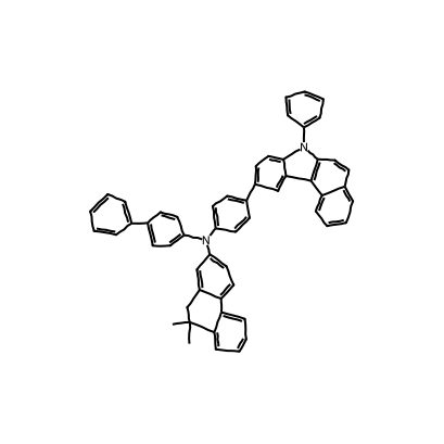 CC1(C)Cc2cc(N(c3ccc(-c4ccccc4)cc3)c3ccc(-c4ccc5c(c4)c4c6ccccc6ccc4n5-c4ccccc4)cc3)ccc2-c2ccccc21